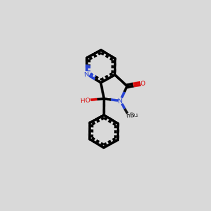 CCCCN1C(=O)c2cccnc2C1(O)c1ccccc1